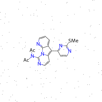 CSc1nccc(-c2c3cccnc3n3c(N(C(C)=O)C(C)=O)nccc23)n1